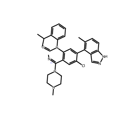 C/N=C(\c1cc(Cl)c(-c2c(C)ccc3[nH]ncc23)cc1N(C=O)c1ccccc1C(C)C)N1CCN(C)CC1